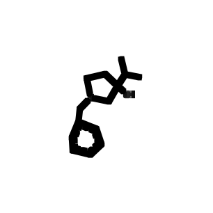 CC(C)C1(O)CCN(Cc2ccccc2)C1